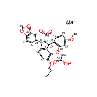 CCCOc1ccc2c(c1)C(c1ccc(OC)cc1OCC(=O)O)[C@@H](C(=O)[O-])C2c1ccc2c(c1)OCO2.[Na+]